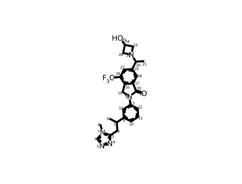 CC(Cc1nncn1C)c1cccc(N2Cc3c(cc(C(C)N4CC(O)C4)cc3C(F)(F)F)C2=O)c1